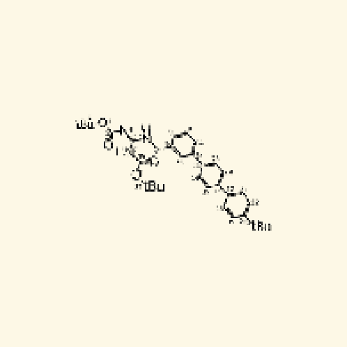 CC(C)(C)OC(=O)/N=C(/NCc1cccc(-c2ccc(-c3ccc(C(C)(C)C)cc3)cc2)c1)NC(=O)OC(C)(C)C